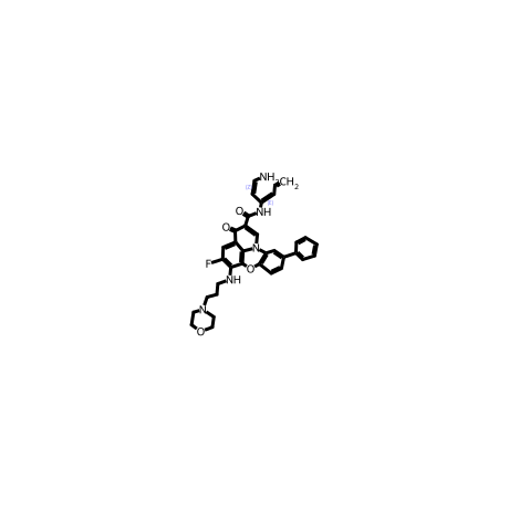 C=C/C=C(\C=C/N)NC(=O)c1cn2c3c(c(NCCCN4CCOCC4)c(F)cc3c1=O)Oc1ccc(-c3ccccc3)cc1-2